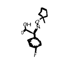 CC1(O/N=C(\C(=O)O)c2ccc(F)cc2)CCCC1